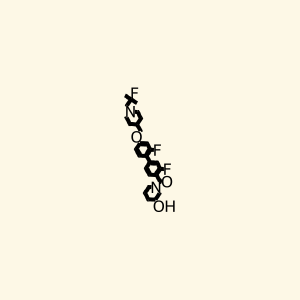 CC(C)(F)CN1CCC(COc2ccc(-c3ccc(C(=O)N4CCCC(O)C4)c(F)c3)c(F)c2)CC1